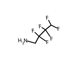 NCC(F)(F)C(F)(F)C(F)F